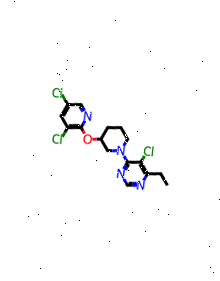 CCc1ncnc(N2CCCC(Oc3ncc(Cl)cc3Cl)C2)c1Cl